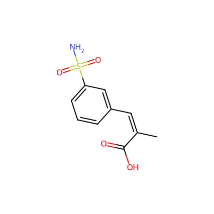 CC(=Cc1cccc(S(N)(=O)=O)c1)C(=O)O